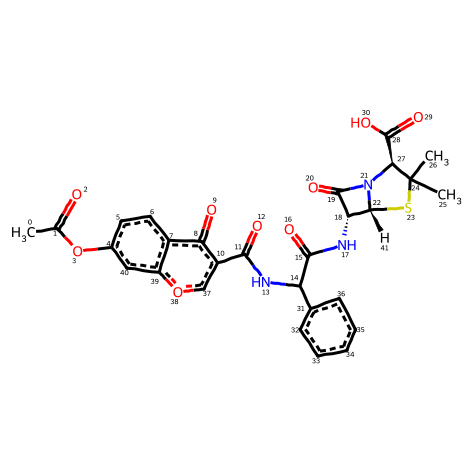 CC(=O)Oc1ccc2c(=O)c(C(=O)NC(C(=O)N[C@@H]3C(=O)N4[C@@H]3SC(C)(C)[C@@H]4C(=O)O)c3ccccc3)coc2c1